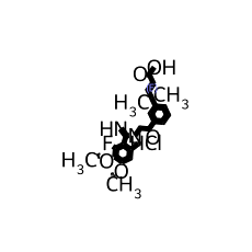 CCOc1cc2c(c(F)c1OCC)C(=N)N(CC(=O)c1cccc(C(C)(C)/C=C/C(=O)O)c1)C2.Cl